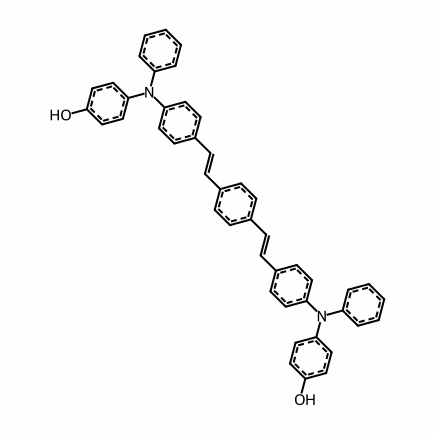 Oc1ccc(N(c2ccccc2)c2ccc(C=Cc3ccc(C=Cc4ccc(N(c5ccccc5)c5ccc(O)cc5)cc4)cc3)cc2)cc1